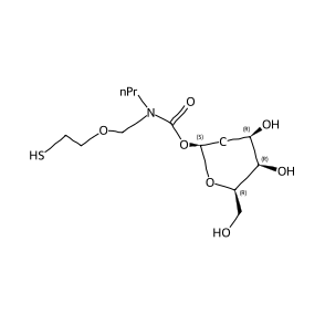 CCCN(COCCS)C(=O)O[C@H]1C[C@@H](O)[C@@H](O)[C@@H](CO)O1